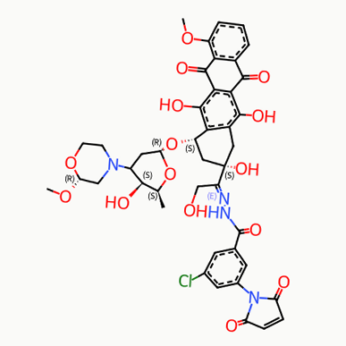 COc1cccc2c1C(=O)c1c(O)c3c(c(O)c1C2=O)C[C@@](O)(/C(CO)=N/NC(=O)c1cc(Cl)cc(N2C(=O)C=CC2=O)c1)C[C@@H]3O[C@H]1CC(N2CCO[C@@H](OC)C2)[C@H](O)[C@H](C)O1